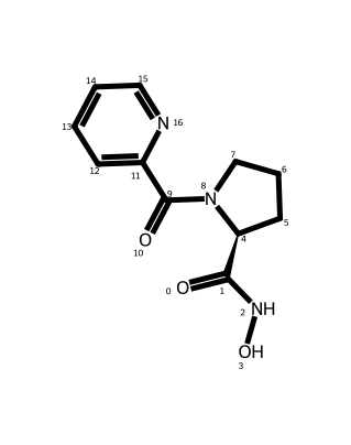 O=C(NO)[C@@H]1CCCN1C(=O)c1ccccn1